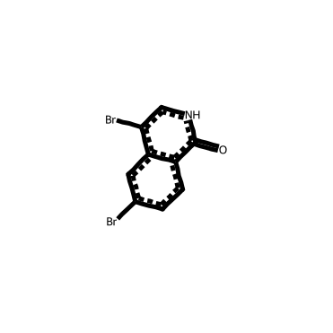 O=c1[nH]cc(Br)c2cc(Br)ccc12